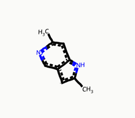 Cc1cc2[nH]c(C)[c]c2cn1